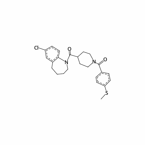 CSc1ccc(C(=O)N2CCC(C(=O)N3CCCCc4cc(Cl)ccc43)CC2)cc1